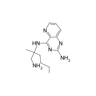 CCCCC(C)(CN)Nc1nc(N)nc2cccnc12